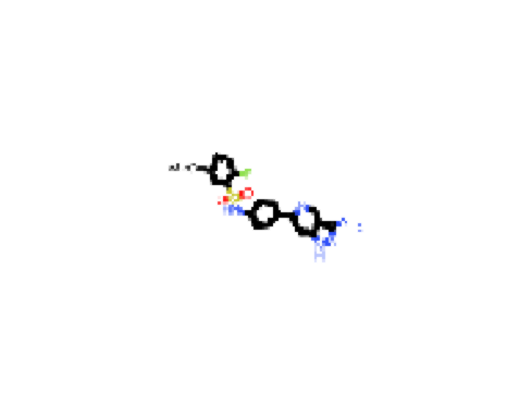 COc1ccc(F)c(S(=O)(=O)Nc2ccc(-c3cc4[nH]nc(N)c4cn3)cc2)c1